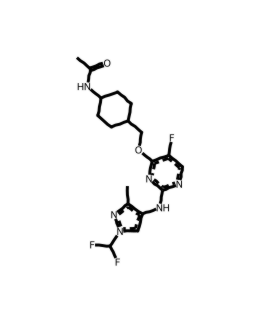 CC(=O)NC1CCC(COc2nc(Nc3cn(C(F)F)nc3C)ncc2F)CC1